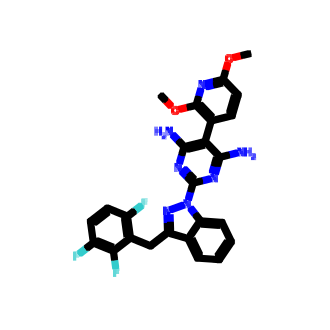 COc1ccc(-c2c(N)nc(-n3nc(Cc4c(F)ccc(F)c4F)c4ccccc43)nc2N)c(OC)n1